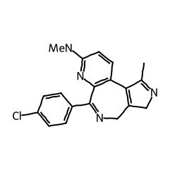 CNc1ccc2c(n1)C(c1ccc(Cl)cc1)=NCC1=C2C(C)=NC1